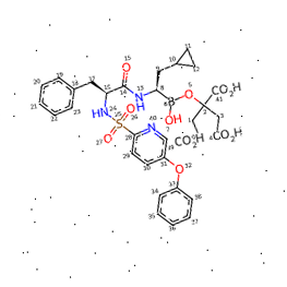 O=C(O)CC(CC(=O)O)(OB(O)[C@H](CC1CC1)NC(=O)[C@H](Cc1ccccc1)NS(=O)(=O)c1ccc(Oc2ccccc2)cn1)C(=O)O